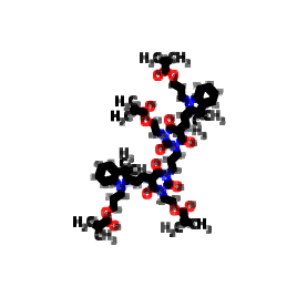 C=C(C)C(=O)OCCCN1/C(=C/C=C2/C(=O)N(CCCN3C(=O)/C(=C/C=C4/N(CCCOC(=O)C(=C)C)c5ccccc5C4(C)C)C(=O)N(CCOC(=O)C(=C)C)C3=O)C(=O)N(CCOC(=O)C(=C)C)C2=O)C(C)(C)c2ccccc21